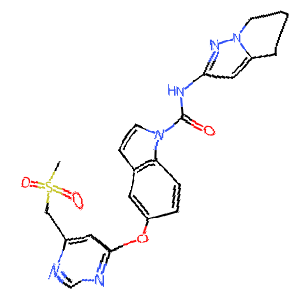 CS(=O)(=O)Cc1cc(Oc2ccc3c(ccn3C(=O)Nc3cc4n(n3)CCC4)c2)ncn1